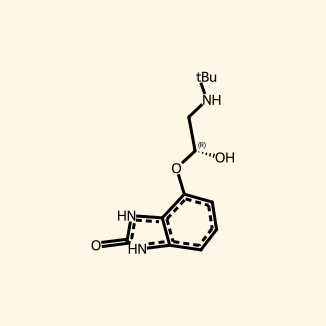 CC(C)(C)NC[C@H](O)Oc1cccc2[nH]c(=O)[nH]c12